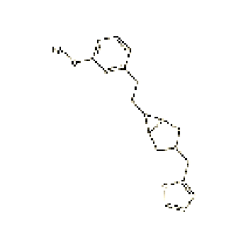 FC(F)(F)Oc1cccc([CH]CC2C3CN(Cc4ccco4)CC23)c1